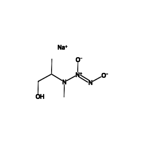 CC(CO)N(C)[N+]([O-])=N[O-].[Na+]